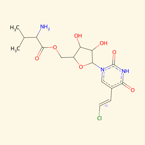 CC(C)C(N)C(=O)OCC1OC(n2cc(/C=C/Cl)c(=O)[nH]c2=O)C(O)C1O